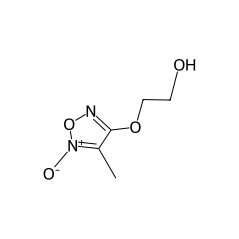 Cc1c(OCCO)no[n+]1[O-]